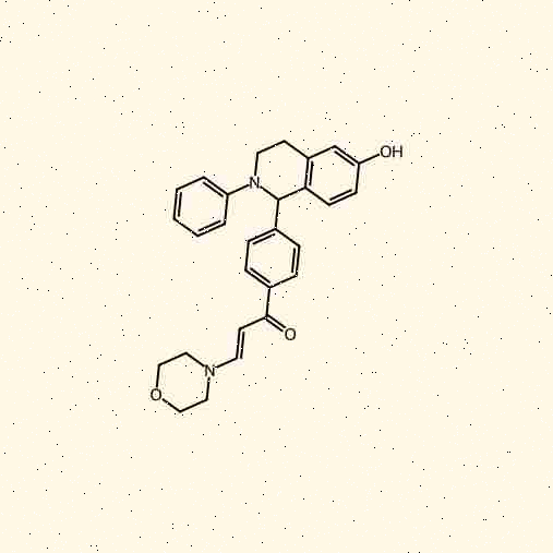 O=C(C=CN1CCOCC1)c1ccc(C2c3ccc(O)cc3CCN2c2ccccc2)cc1